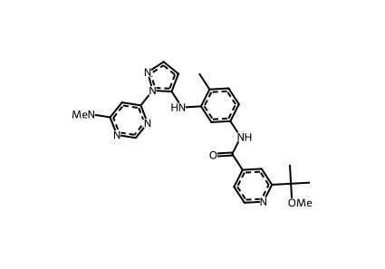 CNc1cc(-n2nccc2Nc2cc(NC(=O)c3ccnc(C(C)(C)OC)c3)ccc2C)ncn1